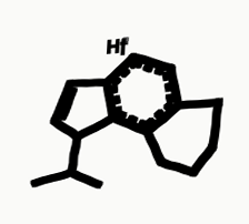 CC(C)C1C=Cc2ccc3c(c21)CCCC3.[Hf]